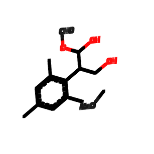 COC.Cc1cc(C)c(C(CO)C(O)OC=O)c(C)c1